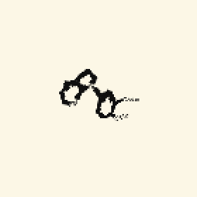 COc1ccc(-n2ccc3cccnc32)cc1OC